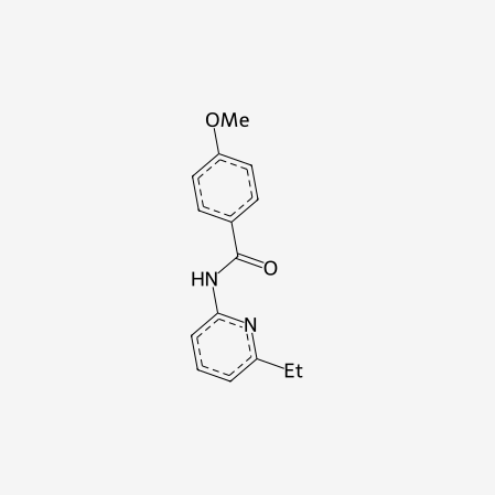 CCc1cccc(NC(=O)c2ccc(OC)cc2)n1